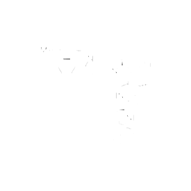 C=CC1CC1(NC(=O)C1CC(Oc2nccc3c(OC)cccc23)CN1C(=O)OC(C)(C)C)C(=O)NS(=O)(=O)C1CC1